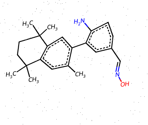 Cc1cc2c(cc1-c1cc(C=NO)ccc1N)C(C)(C)CCC2(C)C